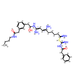 CCCCNC(=O)Cc1cccc(CC(O)N/C(N)=C/C=C(\N)CCCCC(=N)SC(=N)NC(=O)Cc2ccccc2)c1